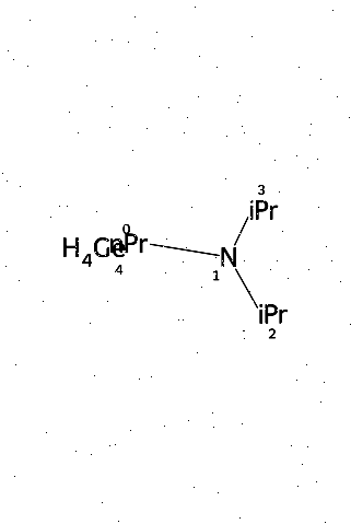 [CH2]CCN(C(C)C)C(C)C.[GeH4]